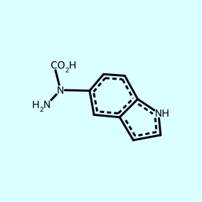 NN(C(=O)O)c1ccc2[nH]ccc2c1